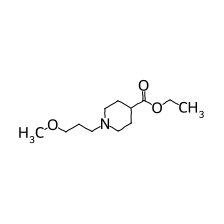 CCOC(=O)C1CCN(CCCOC)CC1